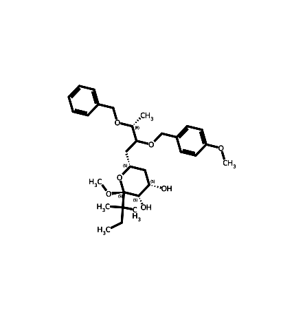 CCC(C)(C)[C@]1(OC)O[C@H](CC(OCc2ccc(OC)cc2)[C@@H](C)OCc2ccccc2)C[C@H](O)[C@@H]1O